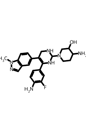 Cn1ncc2cc(C3=C(c4ccc(N)c(F)c4)NC(N4CCC(N)C(O)C4)NC3)ccc21